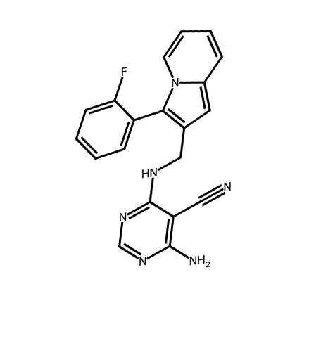 N#Cc1c(N)ncnc1NCc1cc2ccccn2c1-c1ccccc1F